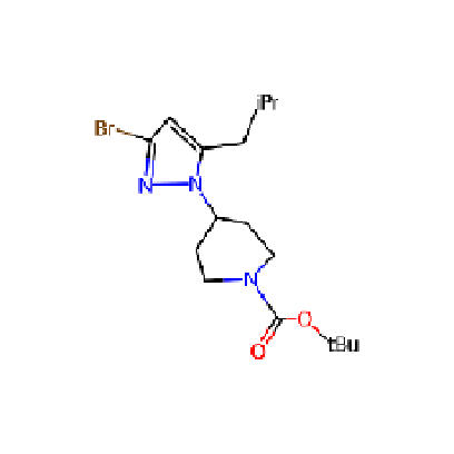 CC(C)Cc1cc(Br)nn1C1CCN(C(=O)OC(C)(C)C)CC1